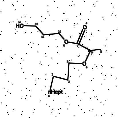 CCCCCCCCCCOC(C)C(=O)OCCCO